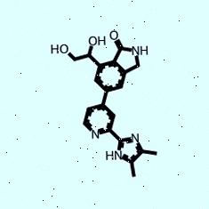 Cc1nc(-c2cc(-c3cc4c(c(C(O)CO)c3)C(=O)NC4)ccn2)[nH]c1C